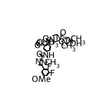 COc1ccc(-c2cnc(C(=O)Nc3ccc(C(=O)N4CCN(C(=O)[C@@H]5C[C@@](C)(O)C[N+]5(C)C)CC4)c(Cl)c3)n2C)c(F)c1F.O=C[O-]